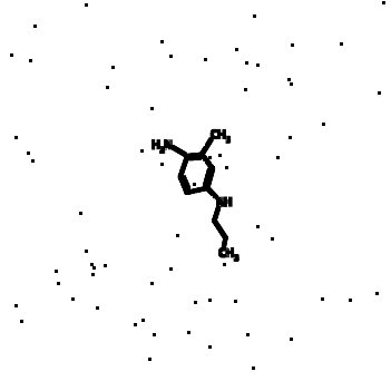 CCCNc1ccc(N)c(C)c1